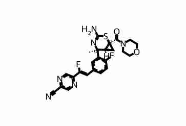 C[C@]1(c2cc(C=C(F)c3cnc(C#N)cn3)ccc2F)N=C(N)S[C@@]2(C(=O)N3CCOCC3)C[C@H]21